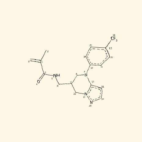 C=C(C)C(=O)NCC1CN(c2ccc(C(F)(F)F)cc2)c2ccnn2C1